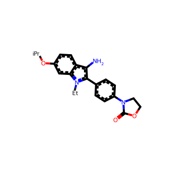 CCn1c(-c2ccc(N3CCOC3=O)cc2)c(N)c2ccc(OC(C)C)cc21